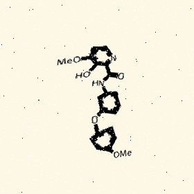 COc1ccc(Oc2cccc(NC(=O)c3nccc(OC)c3O)c2)cc1